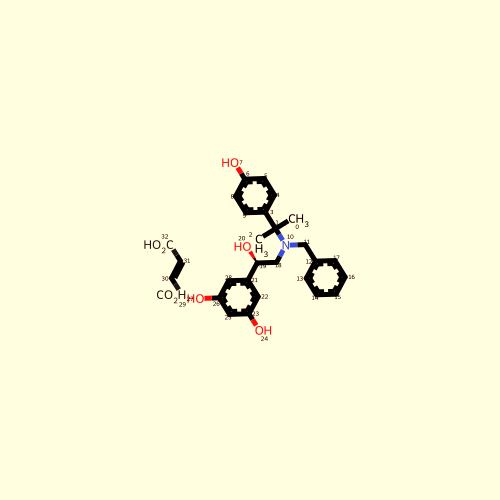 CC(C)(c1ccc(O)cc1)N(Cc1ccccc1)C[C@H](O)c1cc(O)cc(O)c1.O=C(O)/C=C/C(=O)O